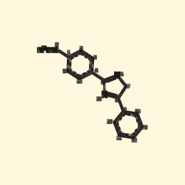 CCCCCc1ccc(C2=NCC(c3ccccc3)=N2)cc1